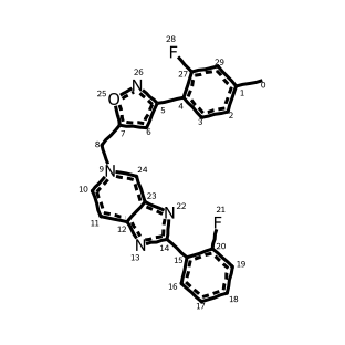 Cc1ccc(-c2cc(Cn3ccc4nc(-c5ccccc5F)nc-4c3)on2)c(F)c1